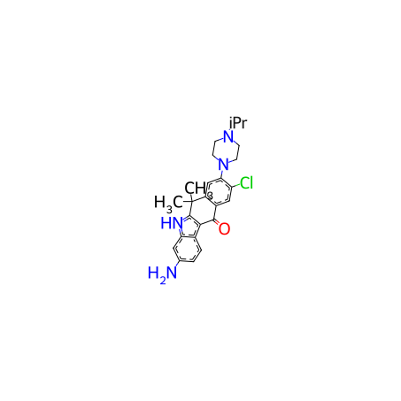 CC(C)N1CCN(c2cc3c(cc2Cl)C(=O)c2c([nH]c4cc(N)ccc24)C3(C)C)CC1